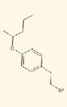 CCCC(C)Oc1ccc(CCBr)cc1